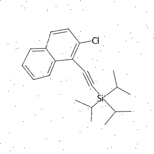 CC(C)[Si](C#Cc1c(Cl)ccc2ccccc12)(C(C)C)C(C)C